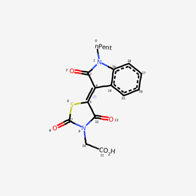 CCCCCN1C(=O)/C(=C2\SC(=O)N(CC(=O)O)C2=O)c2ccccc21